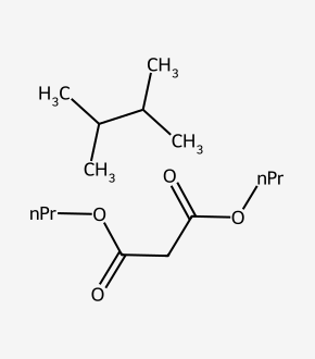 CC(C)C(C)C.CCCOC(=O)CC(=O)OCCC